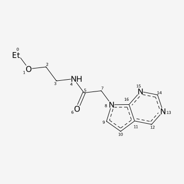 CCOCCNC(=O)Cn1ccc2cncnc21